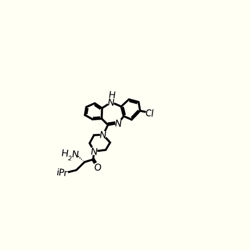 CC(C)C[C@H](N)C(=O)N1CCN(C2=Nc3cc(Cl)ccc3Nc3ccccc32)CC1